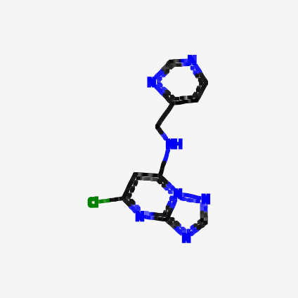 Clc1cc(NCc2ccncn2)n2ncnc2n1